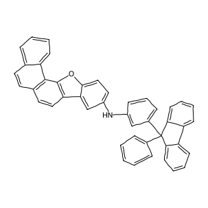 c1ccc(C2(c3cccc(Nc4ccc5oc6c(ccc7ccc8ccccc8c76)c5c4)c3)c3ccccc3-c3ccccc32)cc1